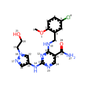 COc1ccc(Cl)cc1CNc1nc(Nc2cnn(CCO)c2)ncc1C(N)=O